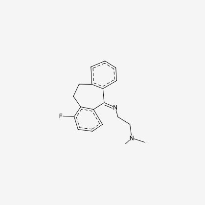 CN(C)CC/N=C1/c2ccccc2CCc2c(F)cccc21